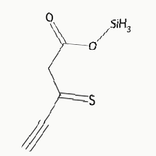 C#CC(=S)CC(=O)O[SiH3]